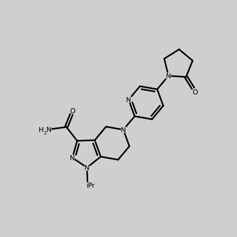 CC(C)n1nc(C(N)=O)c2c1CCN(c1ccc(N3CCCC3=O)cn1)C2